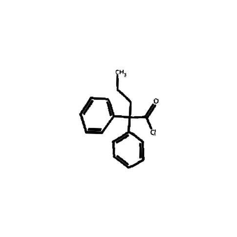 CCCC(C(=O)Cl)(c1ccccc1)c1ccccc1